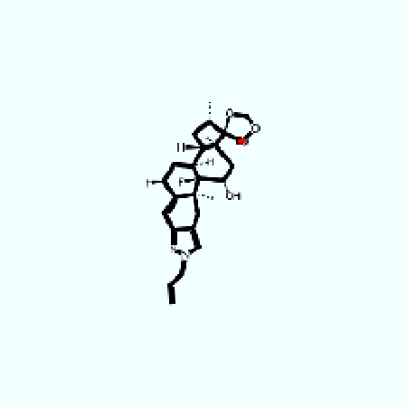 C=CCn1cc2c(n1)C=C1[C@@H](F)C[C@H]3[C@@H]4C[C@H](C)[C@@]5(OCOC56COCO6)[C@@]4(C)C[C@H](O)[C@]3(F)[C@@]1(C)C2